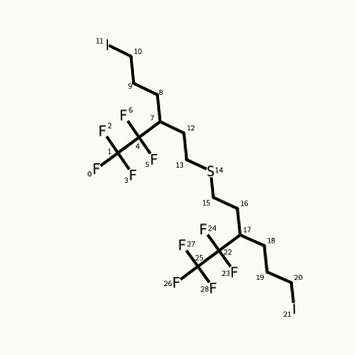 FC(F)(F)C(F)(F)C(CCCI)CCSCCC(CCCI)C(F)(F)C(F)(F)F